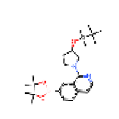 CC1(C)OB(c2ccc3ccnc(N4CC[C@@H](O[Si](C)(C)C(C)(C)C)C4)c3c2)OC1(C)C